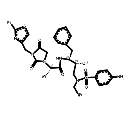 CCc1nc(CN2C(=O)CN([C@H](C(=O)N[C@@H](Cc3ccccc3)[C@H](O)CN(CC(C)C)S(=O)(=O)c3ccc(N)cc3)C(C)C)C2=O)cs1